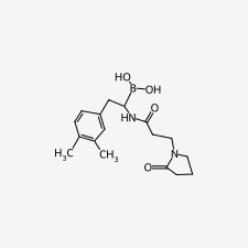 Cc1ccc(CC(NC(=O)CCN2CCCC2=O)B(O)O)cc1C